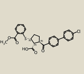 COC(=O)c1ccccc1S[C@@H]1CC[C@@H](C(=O)c2ccc(-c3ccc(Cl)cc3)cc2)[C@@H]1C(=O)O